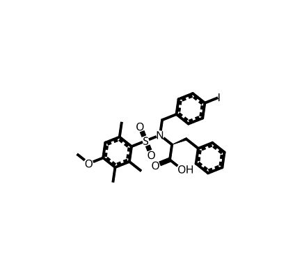 COc1cc(C)c(S(=O)(=O)N(Cc2ccc(I)cc2)[C@@H](Cc2ccccc2)C(=O)O)c(C)c1C